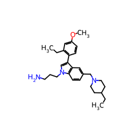 CCc1cc(OC)ccc1-c1cn(CCCN)c2ccc(CN3CCC(CC)CC3)cc12